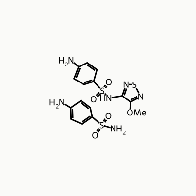 COc1nsnc1NS(=O)(=O)c1ccc(N)cc1.Nc1ccc(S(N)(=O)=O)cc1